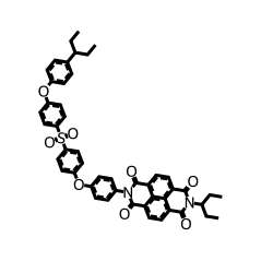 CCC(CC)c1ccc(Oc2ccc(S(=O)(=O)c3ccc(Oc4ccc(N5C(=O)c6ccc7c8c(ccc(c68)C5=O)C(=O)N(C(CC)CC)C7=O)cc4)cc3)cc2)cc1